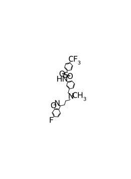 CN(CCCc1noc2cc(F)ccc12)Cc1cccc(NS(=O)(=O)c2ccc(C(F)(F)F)cc2)c1